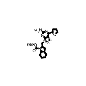 CC(C)(C)OC(=O)n1c(Cn2nnc3c(-c4ccco4)nc(N)nc32)cc2ccccc21